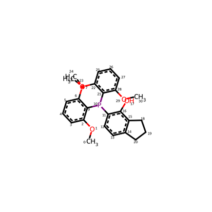 COc1cccc(OC)c1P(c1ccc2c(c1O)CCC2)c1c(OC)cccc1OC